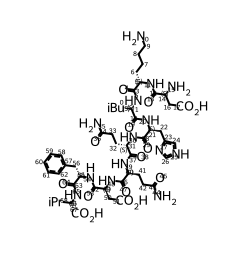 CC[C@H](C)[C@H](NC(=O)[C@H](CCCCN)NC(=O)[C@@H](N)CC(=O)O)C(=O)N[C@@H](Cc1c[nH]cn1)C(=O)N[C@@H](CCC(N)=O)C(=O)N[C@@H](CCC(N)=O)C(=O)N[C@@H](CC(=O)O)C(=O)N[C@@H](Cc1ccccc1)C(=O)N[C@H](C(=O)O)C(C)C